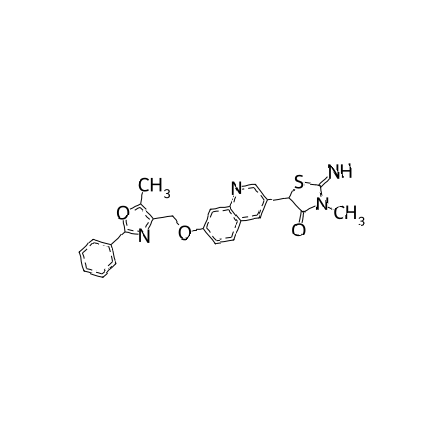 Cc1oc(-c2ccccc2)nc1COc1ccc2cc(C3SC(=N)N(C)C3=O)cnc2c1